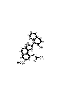 O=C(O)c1cc(OC(=O)C(F)(F)F)c2c(ccc3[nH]c(-c4c(O)ccc5ccccc45)nc32)c1